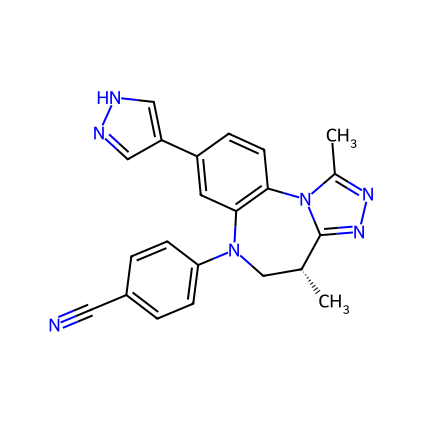 Cc1nnc2n1-c1ccc(-c3cn[nH]c3)cc1N(c1ccc(C#N)cc1)C[C@H]2C